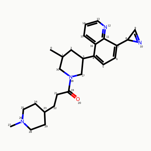 CC1CC(c2ccc(C3C=N3)c3ncccc23)CN(C(=O)CCC2CCN(C)CC2)C1